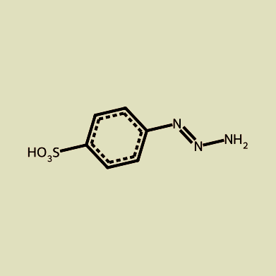 NN=Nc1ccc(S(=O)(=O)O)cc1